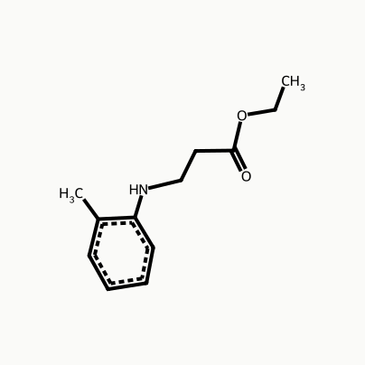 CCOC(=O)CCNc1ccccc1C